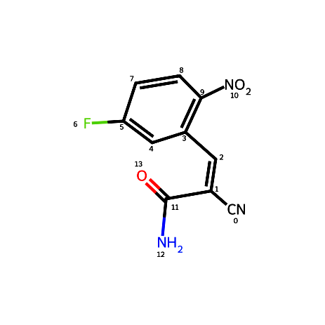 N#CC(=Cc1cc(F)ccc1[N+](=O)[O-])C(N)=O